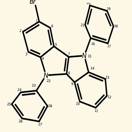 Brc1ccc2c(c1)c1c(c3ccccc3n1-c1ccccc1)n2-c1ccccc1